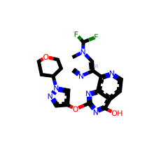 C=N/C(=C\N(C)C(F)F)c1nccc2c(O)nc(Oc3cnn(C4CCOCC4)c3)nc12